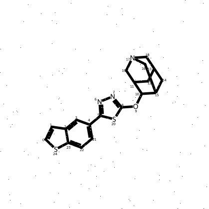 c1cc2cc(-c3nnc(OC4C5CC6CC4CN(C6)C5)s3)ccc2s1